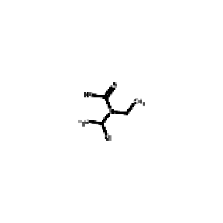 CCN(C(=S)S)C(C)O